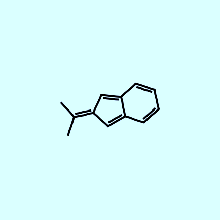 CC(C)=C1[C]=c2ccccc2=C1